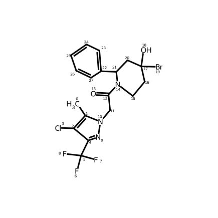 Cc1c(Cl)c(C(F)(F)F)nn1CC(=O)N1CCC(O)(Br)CC1c1ccccc1